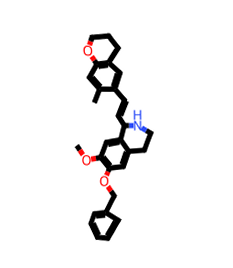 COc1cc2c(cc1OCc1ccccc1)CCNC2/C=C/c1cc2c(cc1C)OCCC2